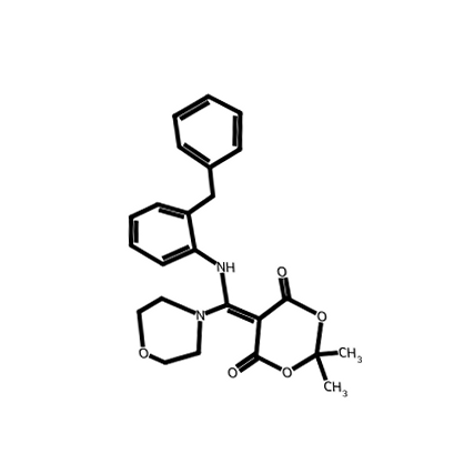 CC1(C)OC(=O)C(=C(Nc2ccccc2Cc2ccccc2)N2CCOCC2)C(=O)O1